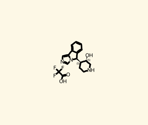 O=C(O)C(F)(F)F.O[C@@H]1CNCC[C@H]1C1c2ccccc2-c2cncn21